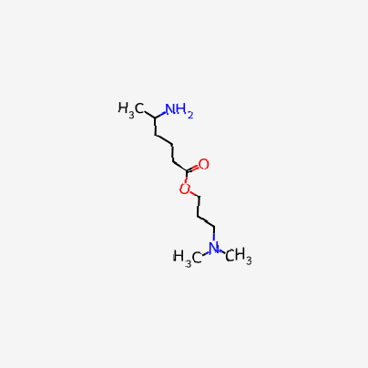 CC(N)CCCC(=O)OCCCN(C)C